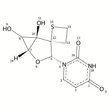 O=c1ccn([C@@H]2O[C@@H]3C(O)[C@]3(O)[C@]23CCS3)c(=O)[nH]1